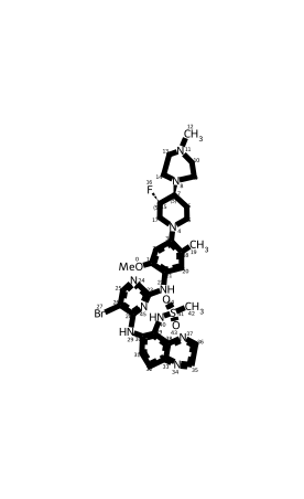 COc1cc(N2CC[C@H](N3CCN(C)CC3)[C@@H](F)C2)c(C)cc1Nc1ncc(Br)c(Nc2ccc3nccnc3c2NS(C)(=O)=O)n1